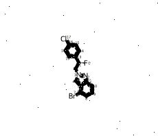 F[C@H](Cn1cc2c(Br)cccc2n1)c1ccc(Cl)cc1